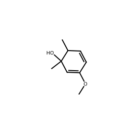 COC1=CC(C)(O)C(C)C=C1